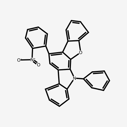 O=[N+]([O-])c1ccccc1-c1cc2c3ccccc3n(-c3ccccc3)c2c2oc3ccccc3c12